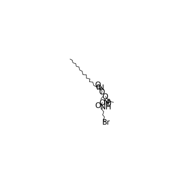 CCCCCCCCCCCCCCCc1cc(OC[C@@H](COC(=O)NCCCCCBr)Oc2cc(C)on2)no1